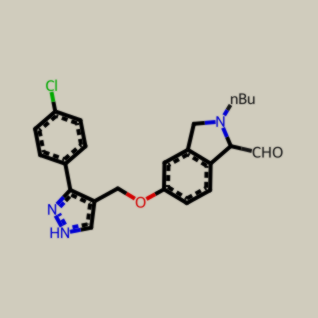 CCCCN1Cc2cc(OCc3c[nH]nc3-c3ccc(Cl)cc3)ccc2C1C=O